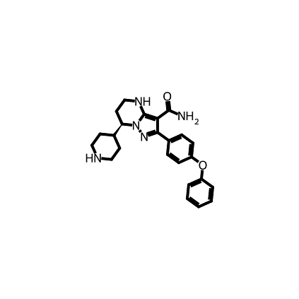 NC(=O)c1c(-c2ccc(Oc3ccccc3)cc2)nn2c1NCC[C@@H]2C1CCNCC1